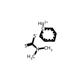 CN(C)C(=S)[S-].[Hg+2].[c-]1ccccc1